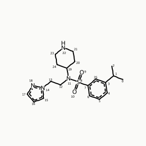 CC(C)c1cccc(S(=O)(=O)N(CCn2cccn2)C2CCNCC2)c1